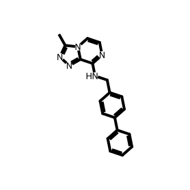 Cc1nnc2c(NCc3ccc(-c4ccccc4)cc3)nccn12